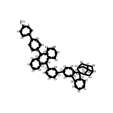 Fc1ccc(-c2ccc(-c3c4ccccc4c(-c4cccc(-c5ccc6c(c5)-c5ccccc5C65C6CC7CC(C6)CC5C7)c4)c4ccccc34)cc2)cc1